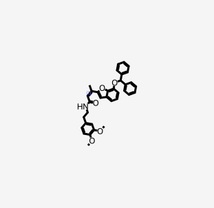 COc1ccc(CCNC(=O)/C=C(/C)c2cc3cccc(OC(c4ccccc4)c4ccccc4)c3o2)cc1OC